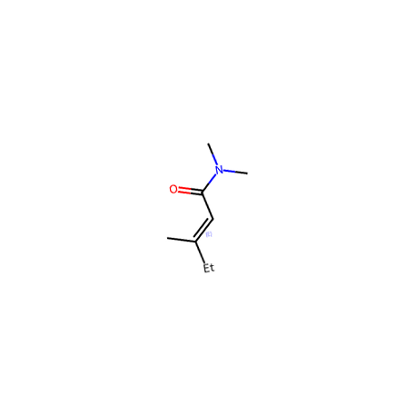 CC/C(C)=C/C(=O)N(C)C